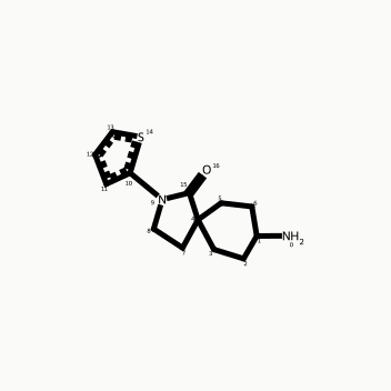 NC1CCC2(CC1)CCN(c1cccs1)C2=O